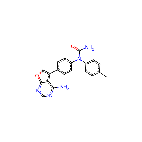 Cc1ccc(N(C(N)=O)c2ccc(-c3coc4ncnc(N)c34)cc2)cc1